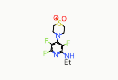 CCNc1nc(F)c(F)c(N2CCS(=O)(=O)CC2)c1F